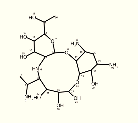 CC(N)C1NC2C(OC(C(C)O)C(O)C2O)OC2C(N)CC(N)C(O)C2OC(O)C(O)C1O